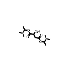 CC(OC(=O)CC(O)C(=O)OC(C)N(C)C)N(C)C